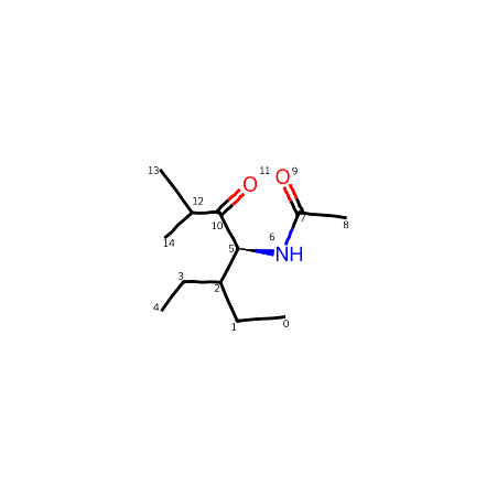 CCC(CC)[C@H](NC(C)=O)C(=O)C(C)C